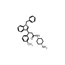 Cc1cccc(C(CC(=O)N[C@H]2CC[C@@H](N)CC2)c2cn(Cc3ccccc3)c3ccccc23)c1